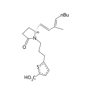 CCCCC=C(C)C=C[C@H]1CCC(=O)N1CCCc1ccc(C(=O)O)s1